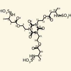 CC(CC(=O)OCCn1c(=O)n(CCOC(=O)CC(C)NS(=O)(=O)O)c(=O)n(CCOC(=O)CC(C)NS(=O)(=O)O)c1=O)NS(=O)(=O)O